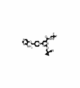 N#CC1(COc2nc(C(=O)NCC(F)(F)F)cc(N3CCC(COc4cncnc4N)CC3)n2)CC1